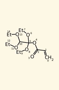 C=CC(=O)OC(OCC)(OCC)C(OCC)OCC